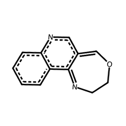 C1=c2cnc3ccccc3c2=NCCO1